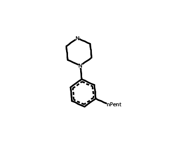 CCCCCc1cccc(N2CC[N]CC2)c1